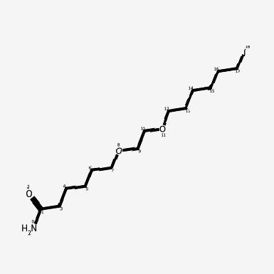 NC(=O)CCCCCOCCOCCCCCCI